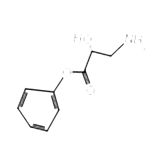 NC[C@@H](O)C(=O)Oc1ccccc1